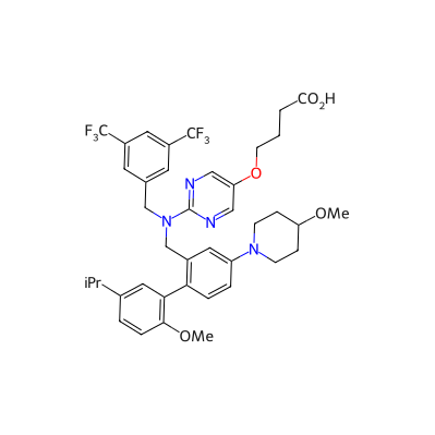 COc1ccc(C(C)C)cc1-c1ccc(N2CCC(OC)CC2)cc1CN(Cc1cc(C(F)(F)F)cc(C(F)(F)F)c1)c1ncc(OCCCC(=O)O)cn1